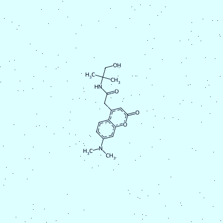 CN(C)c1ccc2c(CC(=O)NC(C)(C)CO)cc(=O)oc2c1